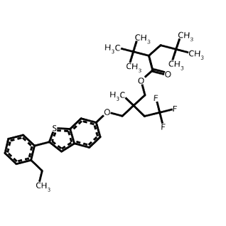 CCc1ccccc1-c1cc2ccc(OCC(C)(COC(=O)C(CC(C)(C)C)C(C)(C)C)CC(F)(F)F)cc2s1